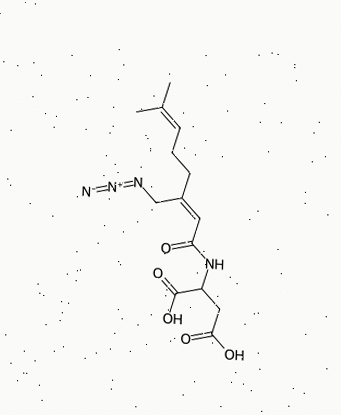 CC(C)=CCC/C(=C/C(=O)NC(CC(=O)O)C(=O)O)CN=[N+]=[N-]